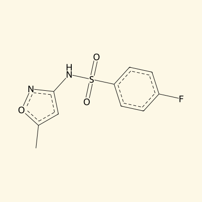 Cc1cc(NS(=O)(=O)c2ccc(F)cc2)no1